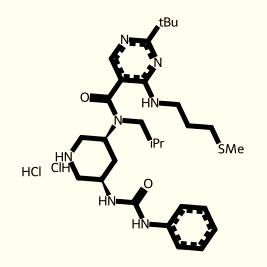 CSCCCNc1nc(C(C)(C)C)ncc1C(=O)N(CC(C)C)[C@@H]1CNC[C@H](NC(=O)Nc2ccccc2)C1.Cl.Cl